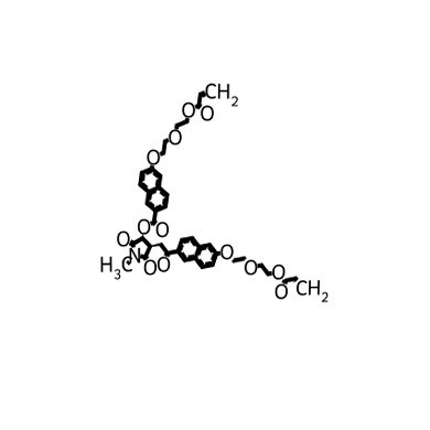 C=CC(=O)OCCOCCOc1ccc2cc(C(=O)C[C@H]3C(=O)N(C)C(=O)[C@@H]3OC(=O)c3ccc4cc(OCCOCCOC(=O)C=C)ccc4c3)ccc2c1